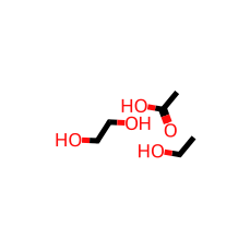 CC(=O)O.CCO.OCCO